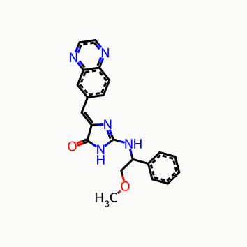 COCC(NC1=N/C(=C\c2ccc3nccnc3c2)C(=O)N1)c1ccccc1